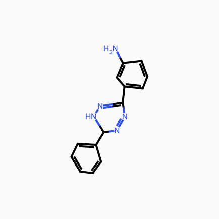 Nc1cccc(C2=NNC(c3ccccc3)N=N2)c1